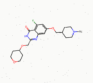 CC(=O)N1CCC(COc2cc(F)c3c(=O)[nH]c(COC4CCOCC4)nc3c2)CC1